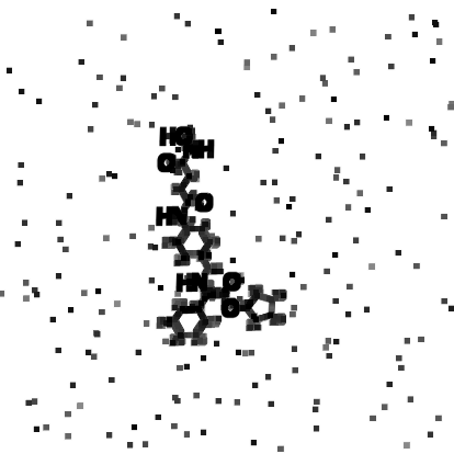 O=C(CCC(=O)Nc1ccc(CN[C@H](C(=O)OC2CCCC2)c2ccccc2)cc1)NO